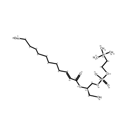 CCCCCCCCCCCCCCCCCCC=CC(=O)O[C@H](CO)COP(=O)([O-])OCC[N+](C)(C)C